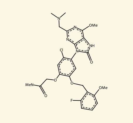 CNC(=O)COc1cc(Cl)c(-n2c(=O)[nH]c3c(OC)nc(CN(C)C)nc32)cc1OCc1c(F)cccc1OC